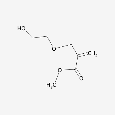 C=C(COCCO)C(=O)OC